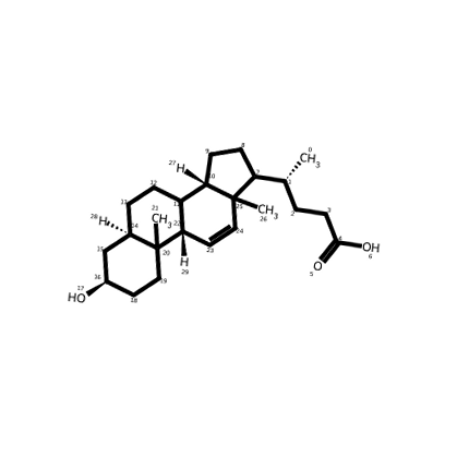 C[C@H](CCC(=O)O)C1CC[C@H]2C3CC[C@@H]4C[C@H](O)CCC4(C)[C@H]3C=CC12C